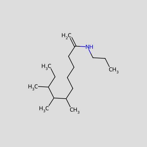 C=C(CCCCC(C)C(C)C(C)CC)NCCC